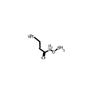 CCCCCC(=O)[SiH2]O[SiH3]